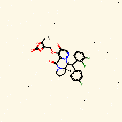 Cc1oc(=O)oc1COc1c2n(ncc1=O)[C@@H](C(c1ccc(F)cc1)c1cccc(F)c1F)[C@H]1CCCN1C2=O